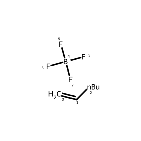 C=CCC[CH]C.F[B-](F)(F)F